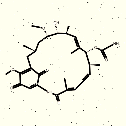 COC1=C2C[C@@H](C)C[C@H](OC)[C@H](O)[C@@H](C)/C=C(\C)[C@H](OC(N)=O)[C@@H](C)/C=C\C=C(/C)C(=O)NC(=CC1=O)C2=O